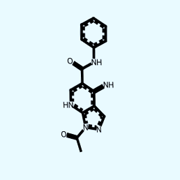 CC(=O)n1ncc2c(=N)c(C(=O)Nc3ccccc3)c[nH]c21